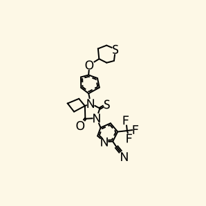 N#Cc1ncc(N2C(=O)C3(CCC3)N(c3ccc(OC4CCSCC4)cc3)C2=S)cc1C(F)(F)F